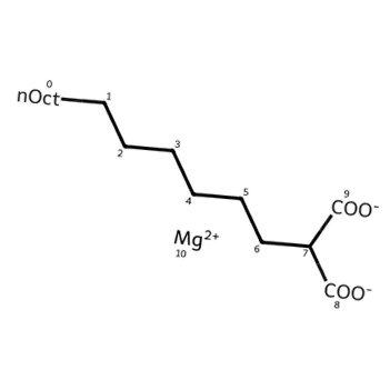 CCCCCCCCCCCCCCC(C(=O)[O-])C(=O)[O-].[Mg+2]